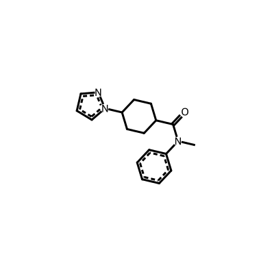 CN(C(=O)C1CCC(n2cccn2)CC1)c1ccccc1